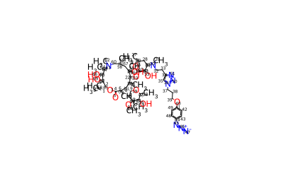 CC[C@H]1OC(=O)[C@H](C)[C@@H](C2C[C@@](C)(OC)[C@@H](O)[C@H](C)O2)[C@H](C)[C@@H](O[C@@H]2O[C@H](C)C[C@H](N(C)CCc3cn(CCCOc4ccc(N=[N+]=[N-])cc4)nn3)[C@H]2O)[C@](C)(O)C[C@@H](C)CN(C)[C@H](C)[C@@H](O)[C@]1(C)O